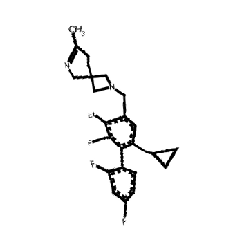 CCc1c(CN2CC3(CN=C(C)C3)C2)cc(C2CC2)c(-c2ccc(F)cc2F)c1F